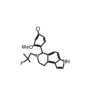 COc1cc(Cl)ccc1C1c2ccc3[nH]ccc3c2CCN1CC(C)(C)F